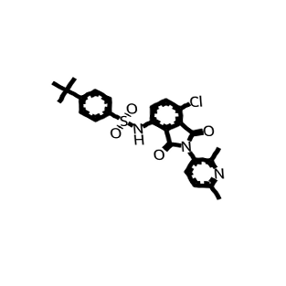 Cc1ccc(N2C(=O)c3c(Cl)ccc(NS(=O)(=O)c4ccc(C(C)(C)C)cc4)c3C2=O)c(C)n1